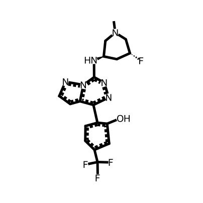 CN1C[C@H](F)C[C@@H](Nc2nnc(-c3ccc(C(F)(F)F)cc3O)c3ccnn23)C1